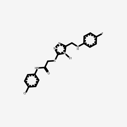 CCn1c(CNc2ccc(F)cc2)nnc1SCC(=O)Nc1ccc(Cl)cc1